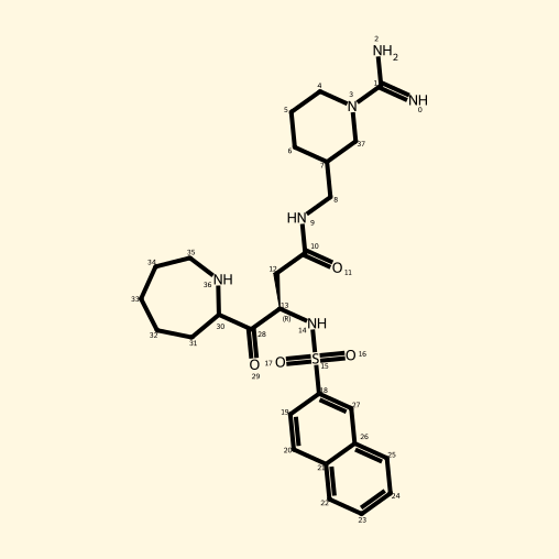 N=C(N)N1CCCC(CNC(=O)C[C@@H](NS(=O)(=O)c2ccc3ccccc3c2)C(=O)C2CCCCCN2)C1